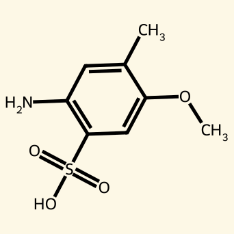 COc1cc(S(=O)(=O)O)c(N)cc1C